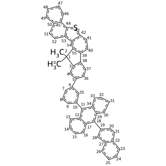 CC1(C)c2cc(-c3cccc(-c4c5ccccc5c(-c5ccc6ccccc6c5)c5ccccc45)c3)ccc2-c2ccc3sc4c5ccccc5ccc4c3c21